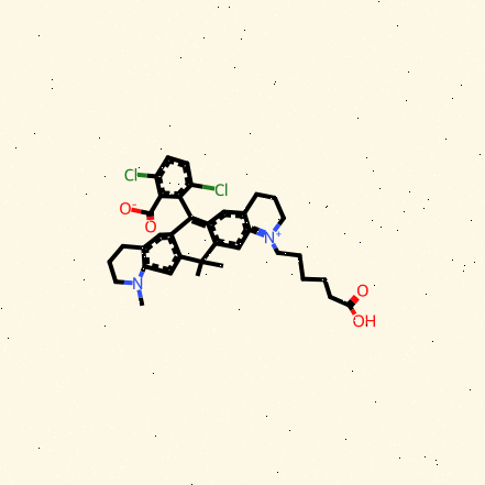 CN1CCCc2cc3c(cc21)C(C)(C)c1cc2c(cc1=C3c1c(Cl)ccc(Cl)c1C(=O)[O-])CCC[N+]=2CCCCCC(=O)O